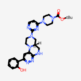 CC(C)(C)OC(=O)N1CCN(c2ccnc(N3CCN4c5cc(-c6ccccc6O)nnc5NC[C@H]4C3)n2)CC1